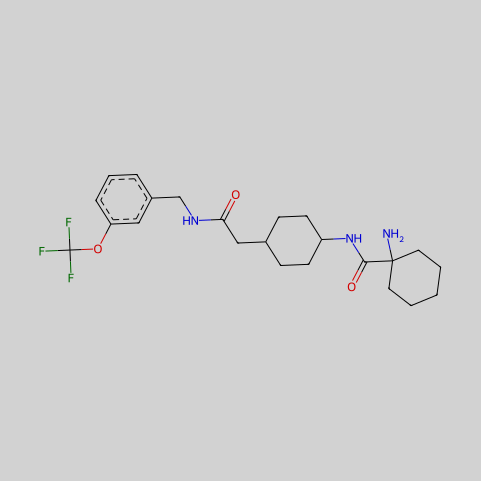 NC1(C(=O)NC2CCC(CC(=O)NCc3cccc(OC(F)(F)F)c3)CC2)CCCCC1